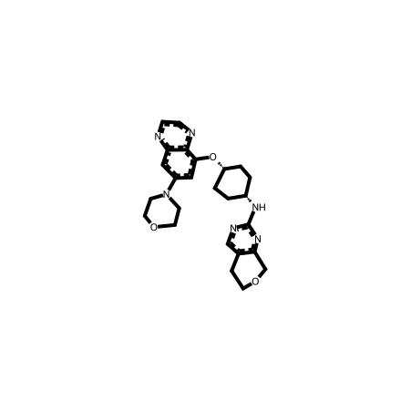 c1cnc2c(O[C@H]3CC[C@@H](Nc4ncc5c(n4)COCC5)CC3)cc(N3CCOCC3)cc2n1